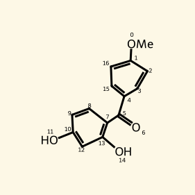 COc1ccc(C(=O)c2ccc(O)cc2O)cc1